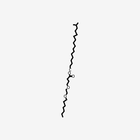 CCCCCCCOCCOCCCC(=O)OCCCCCCCCCCCCCCCC(C)C